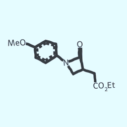 CCOC(=O)CC1CN(c2ccc(OC)cc2)C1=O